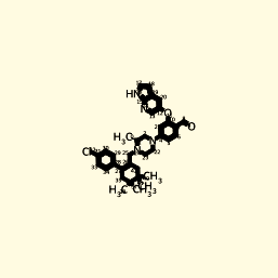 C[C@@H]1CN(c2ccc(C=O)c(Oc3cnc4[nH]ccc4c3)c2)CCN1CC1=C(c2ccc(Cl)cc2)CC(C)(C)C(C)(C)C1